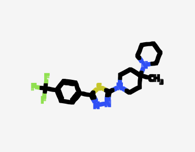 CC1(N2CCCCC2)CCN(c2nnc(-c3ccc(C(F)(F)F)cc3)s2)CC1